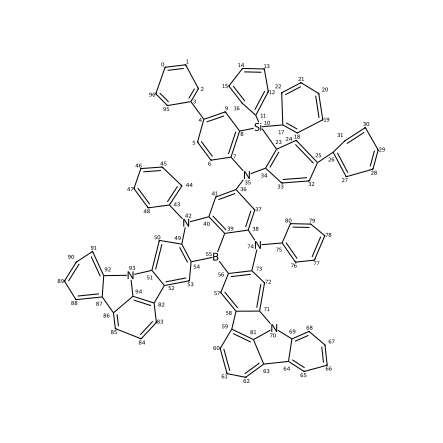 c1ccc(-c2ccc3c(c2)[Si](c2ccccc2)(c2ccccc2)c2cc(-c4ccccc4)ccc2N3c2cc3c4c(c2)N(c2ccccc2)c2cc5c(cc2B4c2cc4c6cccc7c8ccccc8n(c4cc2N3c2ccccc2)c76)c2cccc3c4ccccc4n5c32)cc1